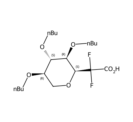 CCCCO[C@@H]1[C@@H](OCCCC)[C@@H](C(F)(F)C(=O)O)OC[C@H]1OCCCC